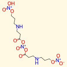 O=C(CCNCCCO[N+](=O)[O-])O[N+](=O)OC(=O)CCNCCCO[N+](=O)O